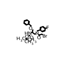 CC(C)(C)OC(=O)NC(COCc1ccccc1)CN(Cc1ccc(F)cc1)C(=O)CBr